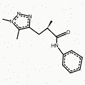 Cc1c(C[C@@H](C)C(=O)Nc2ccccc2)nnn1C